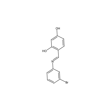 Oc1ccc(/C=N/c2cccc(Br)c2)c(O)c1